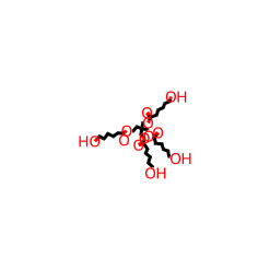 O=C(CCCCCO)OCCC(COC(=O)CCCCCO)(COC(=O)CCCCCO)COC(=O)CCCCCO